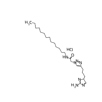 CCCCCCCCCCCCCCNC(=O)Cn1cc(CCCC2C=NC(N)=N2)nn1.Cl